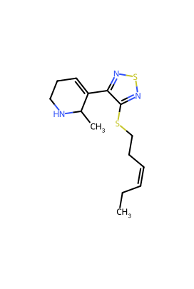 CC/C=C\CCSc1nsnc1C1=CCCNC1C